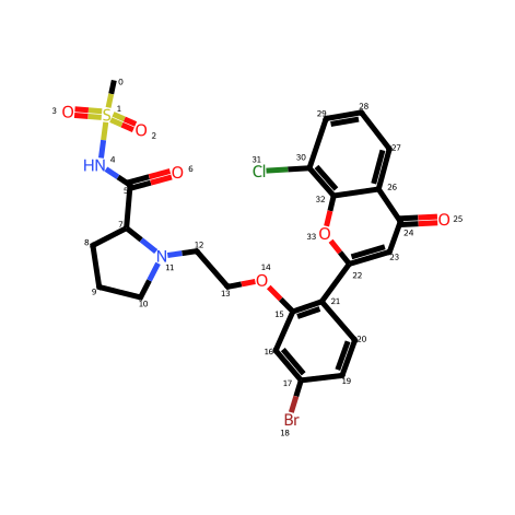 CS(=O)(=O)NC(=O)C1CCCN1CCOc1cc(Br)ccc1-c1cc(=O)c2cccc(Cl)c2o1